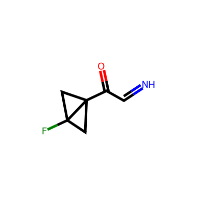 N=CC(=O)C12CC1(F)C2